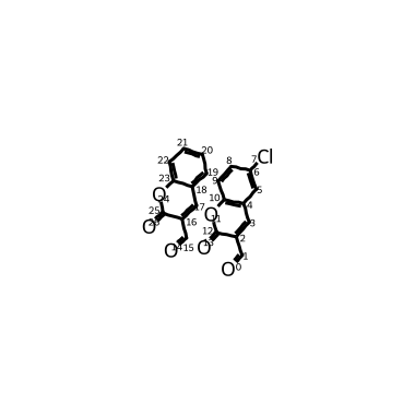 O=Cc1cc2cc(Cl)ccc2oc1=O.O=Cc1cc2ccccc2oc1=O